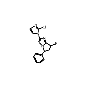 FC1C[C@@H](c2ccccc2)n2nc(-n3ccnc3Cl)nc21